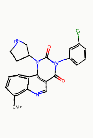 COc1cccc2c1ncc1c(=O)n(-c3cccc(Cl)c3)c(=O)n(C3CCNC3)c12